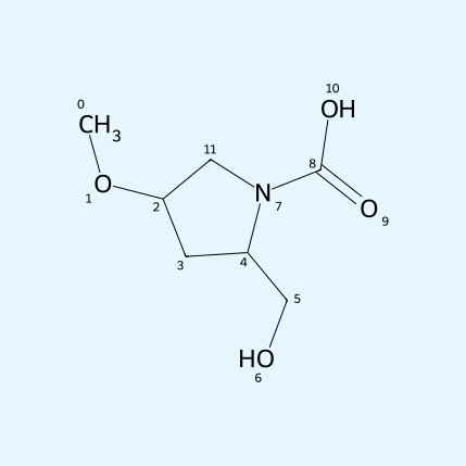 COC1CC(CO)N(C(=O)O)C1